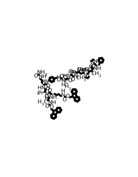 CC[C@H](C)[C@@H]([C@@H](CC(=O)N1CCC[C@H]1[C@H](OC)[C@@H](C)C(=O)N[C@@H](Cc1ccccc1)c1nccs1)OC)N(C)C(=O)[C@@H](NC(=O)C(C)(C)NC(=O)OCc1ccc(NC(=O)[C@H](CCCNC(N)=O)NC(=O)[C@@H](NC(=O)[C@H](CCCCNC(=O)OCC2c3ccccc3-c3ccccc32)NC(=O)[C@H](C)NC(=O)OCC2c3ccccc3-c3ccccc32)C(C)C)cc1)C(C)C